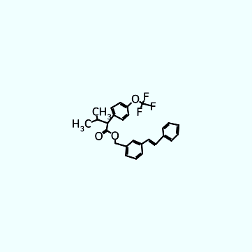 CC(C)C(C(=O)OCc1cccc(/C=C/c2ccccc2)c1)c1ccc(OC(F)(F)F)cc1